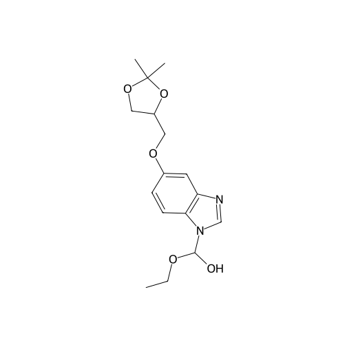 CCOC(O)n1cnc2cc(OCC3COC(C)(C)O3)ccc21